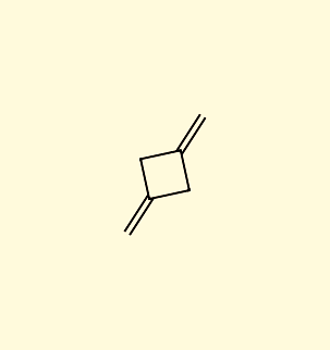 C=C1CC(=C)C1